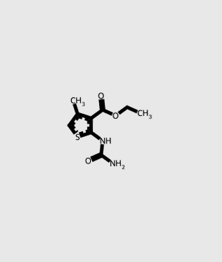 CCOC(=O)c1c(C)csc1NC(N)=O